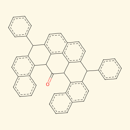 O=C1C2c3c(ccc4ccccc34)C(c3ccccc3)c3ccc4ccc5c(c4c32)C1c1c(ccc2ccccc12)C5c1ccccc1